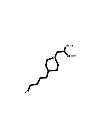 CCCCCCC(CCCCCC)CN1CCC(CCCCC(C)C)CC1